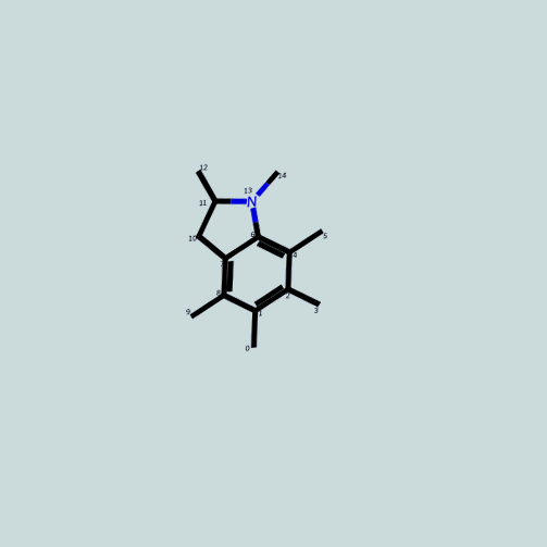 Cc1c(C)c(C)c2c(c1C)CC(C)N2C